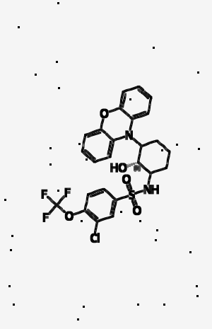 O=S(=O)(NC1CCCC(N2c3ccccc3Oc3ccccc32)[C@H]1O)c1ccc(OC(F)(F)F)c(Cl)c1